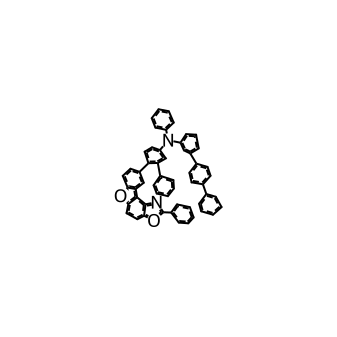 c1ccc(-c2ccc(-c3cccc(N(c4ccccc4)c4ccc(-c5ccc6oc7ccc8oc(-c9ccccc9)nc8c7c6c5)c(-c5ccccc5)c4)c3)cc2)cc1